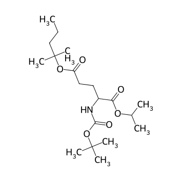 CCCC(C)(C)OC(=O)CCC(NC(=O)OC(C)(C)C)C(=O)OC(C)C